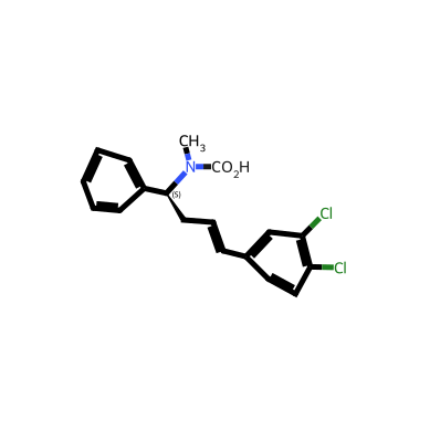 CN(C(=O)O)[C@@H](CC=Cc1ccc(Cl)c(Cl)c1)c1ccccc1